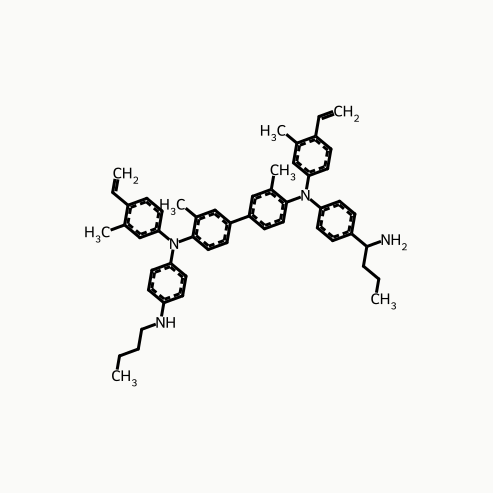 C=Cc1ccc(N(c2ccc(NCCCC)cc2)c2ccc(-c3ccc(N(c4ccc(C(N)CCC)cc4)c4ccc(C=C)c(C)c4)c(C)c3)cc2C)cc1C